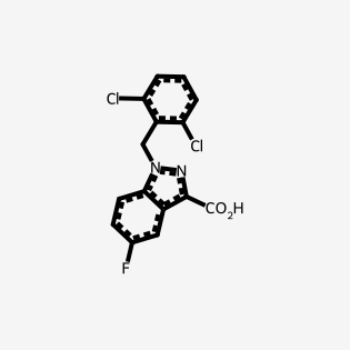 O=C(O)c1nn(Cc2c(Cl)cccc2Cl)c2ccc(F)cc12